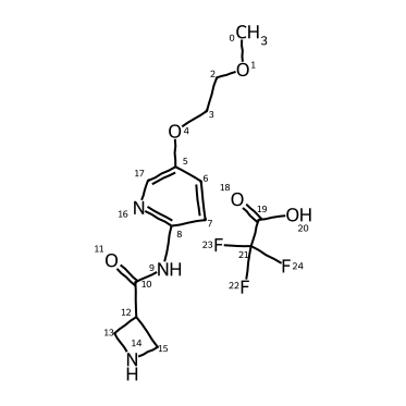 COCCOc1ccc(NC(=O)C2CNC2)nc1.O=C(O)C(F)(F)F